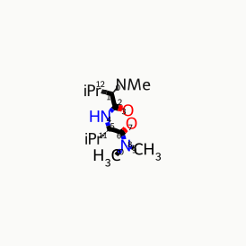 CN[C@H](C(=O)N[C@H](C(=O)N(C)C)C(C)C)C(C)C